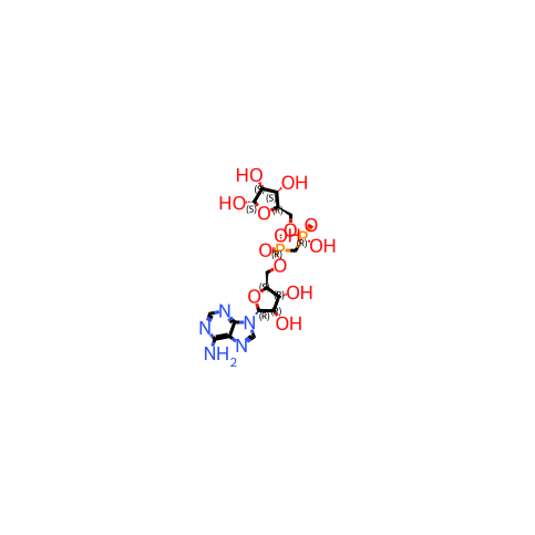 Nc1ncnc2c1ncn2[C@@H]1O[C@@H](CO[P@](=O)(O)C[P@@](=O)(O)OC[C@H]2O[C@H](O)[C@@H](O)[C@@H]2O)[C@H](O)[C@H]1O